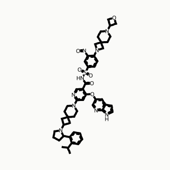 CC(C)c1ccccc1C1CCCN1C1CC2(CCN(c3cc(Oc4cnc5[nH]ccc5c4)c(C(=O)NS(=O)(=O)c4ccc(N5CC6(CCN(C7COC7)CC6)C5)c(N=O)c4)cn3)CC2)C1